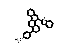 Cc1ccc(C2=c3ccc4c(c3CCC2)C(c2cc3ccccc3s2)C=c2ccccc2=4)cc1